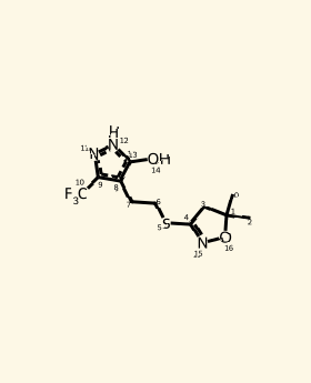 CC1(C)CC(SCCc2c(C(F)(F)F)n[nH]c2O)=NO1